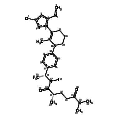 C=Nc1cc(Cl)nn1C1=C(C)N(c2ccc([C@H](N(I)C(=O)[C@@H](C)CCC(=O)N(C)C)C(F)(F)F)cc2)CCC1